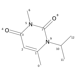 Cc1cc(=O)n(C)c(=O)n1C(C)C